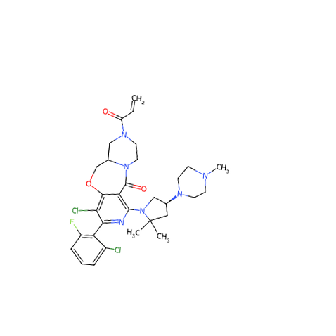 C=CC(=O)N1CCN2C(=O)c3c(N4C[C@@H](N5CCN(C)CC5)CC4(C)C)nc(-c4c(F)cccc4Cl)c(Cl)c3OCC2C1